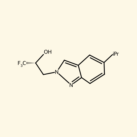 CC(C)c1ccc2nn(C[C@@H](O)C(F)(F)F)cc2c1